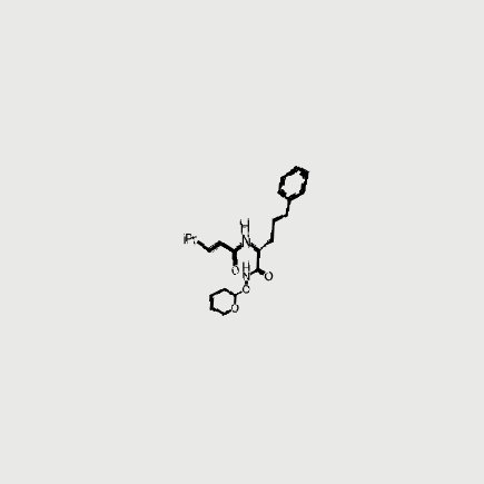 CC(C)CCC(=O)N[C@@H](CCCc1ccccc1)C(=O)NO[C@@H]1CCCCO1